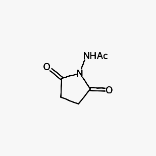 CC(=O)NN1C(=O)CCC1=O